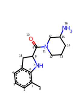 Cc1cccc2c1NC(C(=O)N1CCCC(N)C1)C2